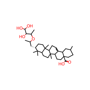 CC1CCC2(C(=O)O)CCC3C(=CCC4C3(C)CCC3C4(C)CC[C@@H](CC(C)OC(C)C(O)C(O)O)C3(C)C)C2C1